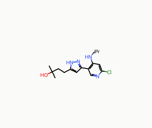 CC(C)Nc1cc(Cl)ncc1-c1cc(CCC(C)(C)O)[nH]n1